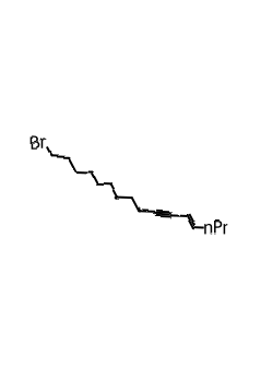 CCCC=CC#CCCCCCCCCCBr